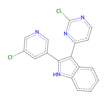 Clc1cncc(-c2[nH]c3ccccc3c2-c2ccnc(Cl)n2)c1